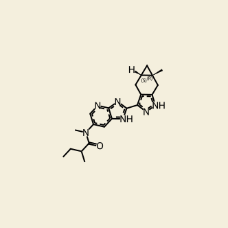 CCC(C)C(=O)N(C)c1cnc2nc(-c3n[nH]c4c3C[C@@H]3C[C@]3(C)C4)[nH]c2c1